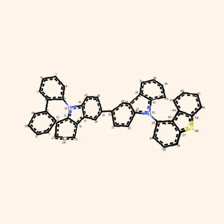 c1ccc(-c2ccccc2-n2c3ccccc3c3cc(-c4ccc5c(c4)c4ccccc4n5-c4cccc5sc6ccccc6c45)ccc32)cc1